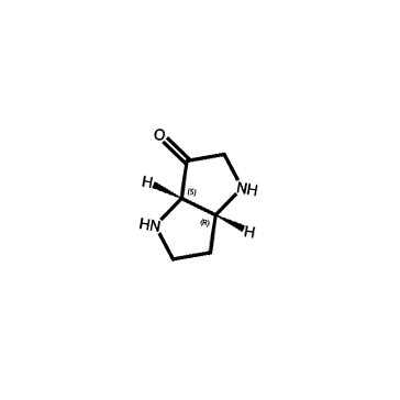 O=C1CN[C@@H]2CCN[C@H]12